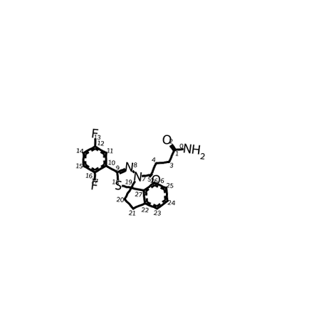 NC(=O)CCC(=O)N1N=C(c2cc(F)ccc2F)SC12CCc1ccccc12